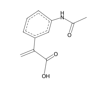 C=C(C(=O)O)c1cccc(NC(C)=O)c1